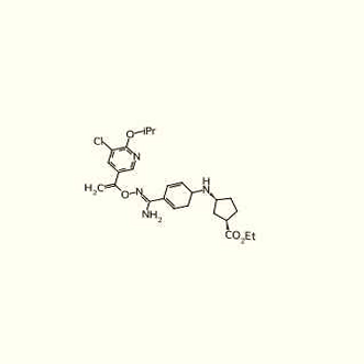 C=C(O/N=C(\N)C1=CCC(N[C@H]2CC[C@@H](C(=O)OCC)C2)C=C1)c1cnc(OC(C)C)c(Cl)c1